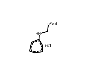 CCCCCCNc1ccccc1.Cl